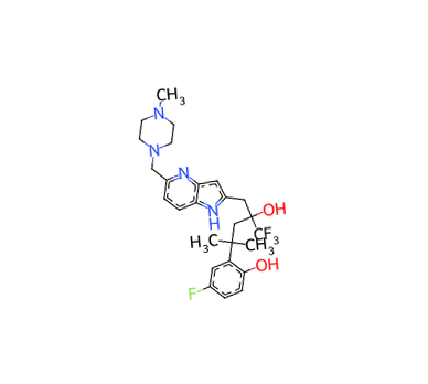 CN1CCN(Cc2ccc3[nH]c(CC(O)(CC(C)(C)c4cc(F)ccc4O)C(F)(F)F)cc3n2)CC1